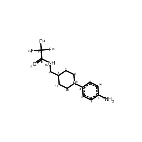 Nc1ccc(N2CCC(CNC(=O)C(F)(F)F)CC2)cc1